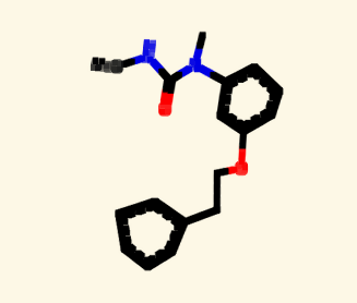 CONC(=O)N(C)c1cccc(OCCc2ccccc2)c1